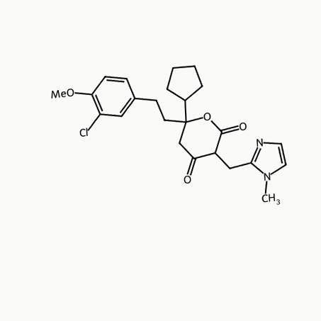 COc1ccc(CCC2(C3CCCC3)CC(=O)C(Cc3nccn3C)C(=O)O2)cc1Cl